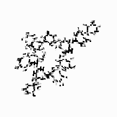 c1ccc(-c2ccc(-c3cc(-c4cccc(-n5c6ccccc6c6c7c8ccccc8n(-c8nc(-c9ccccc9)nc(-c9ccccc9)n8)c7ccc65)c4)cc(-c4ccccc4)n3)cc2)cc1